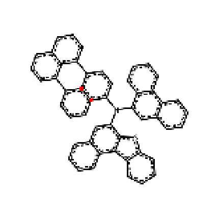 c1ccc(-c2cccc3cccc(-c4ccc(N(c5cc6ccccc6c6ccccc56)c5cc6ccccc6c6c5sc5ccccc56)cc4)c23)cc1